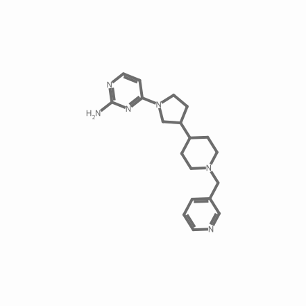 Nc1nccc(N2CCC(C3CCN(Cc4cccnc4)CC3)C2)n1